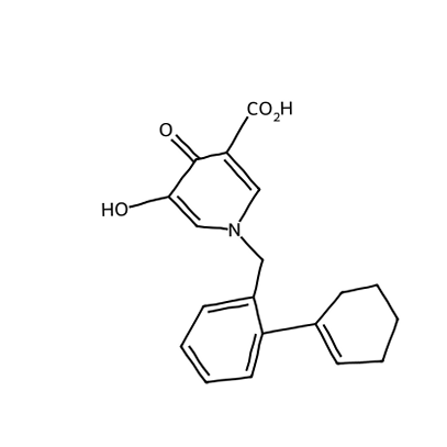 O=C(O)c1cn(Cc2ccccc2C2=CCCCC2)cc(O)c1=O